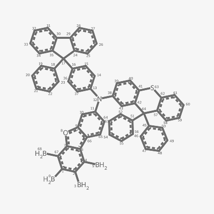 Bc1c(B)c(B)c2c(oc3cc(N(c4ccc(C5(c6ccccc6)c6ccccc6-c6ccccc65)cc4)c4ccc5c(c4)C(c4ccccc4)(c4ccccc4)c4ccccc4S5)ccc32)c1B